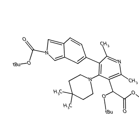 Cc1nc(C)c(C(OC(C)(C)C)C(=O)OC(C)C)c(N2CCC(C)(C)CC2)c1-c1ccc2cn(C(=O)OC(C)(C)C)cc2c1